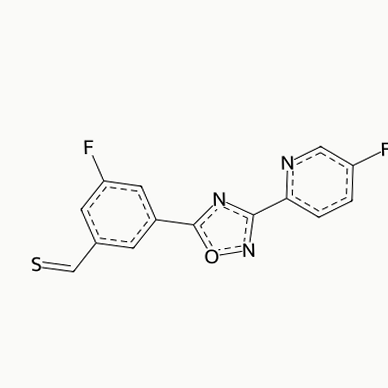 Fc1ccc(-c2noc(-c3cc(F)cc(C=S)c3)n2)nc1